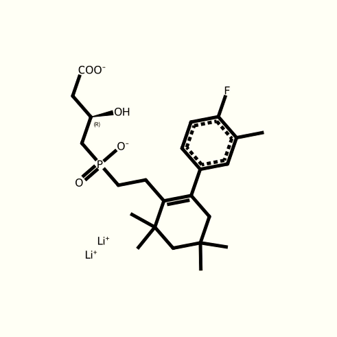 Cc1cc(C2=C(CCP(=O)([O-])C[C@H](O)CC(=O)[O-])C(C)(C)CC(C)(C)C2)ccc1F.[Li+].[Li+]